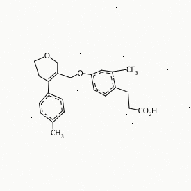 Cc1ccc(C2=C(COc3ccc(CCC(=O)O)c(C(F)(F)F)c3)COCC2)cc1